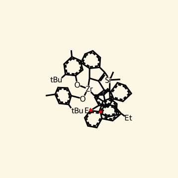 CCc1cc(C2=C3c4ccccc4[CH]2[Zr]([O]c2ccc(C)cc2C(C)(C)C)([O]c2ccc(C)cc2C(C)(C)C)[CH]2C(c4cc(CC)cc5ccccc45)=C(c4ccccc42)[Si]3(C)C)c2ccccc2c1